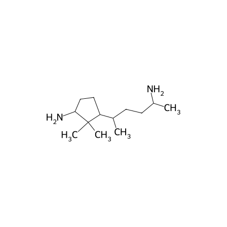 CC(N)CCC(C)C1CCC(N)C1(C)C